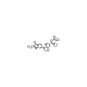 Cn1nc2cc(N3CCOc4cc(C(=O)N5CCC[C@H]5C(N)=O)cnc43)ccn2c1=O